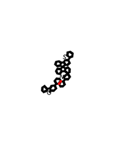 c1ccc(-c2ccccc2N(c2ccc(-c3ccc4oc5ccccc5c4c3)cc2)c2cccc3c2-c2ccccc2C32c3ccccc3-c3c2ccc2c3sc3ccccc32)cc1